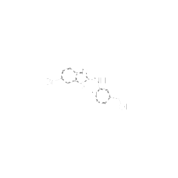 OCc1ccnc(Nc2nc3ccc(Br)cc3s2)c1